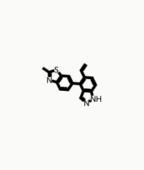 C=Cc1ccc2[nH]ncc2c1-c1ccc2nc(C)sc2c1